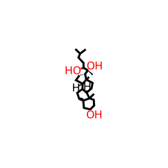 CC(C)CCC(O)[C@](C)(O)[C@H]1CC[C@H]2C3CC=C4CC(O)CCC4(C)[C@H]3CCC21C